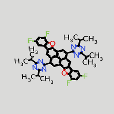 CC(C)c1nc(-c2cc3c4oc5c(F)cc(F)cc5c4cc4c(-c5nc(C(C)C)nc(C(C)C)n5)cc5c6oc7c(F)cc(F)cc7c6cc2c5c43)nc(C(C)C)n1